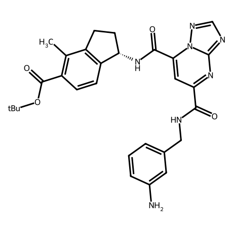 Cc1c(C(=O)OC(C)(C)C)ccc2c1CC[C@@H]2NC(=O)c1cc(C(=O)NCc2cccc(N)c2)nc2ncnn12